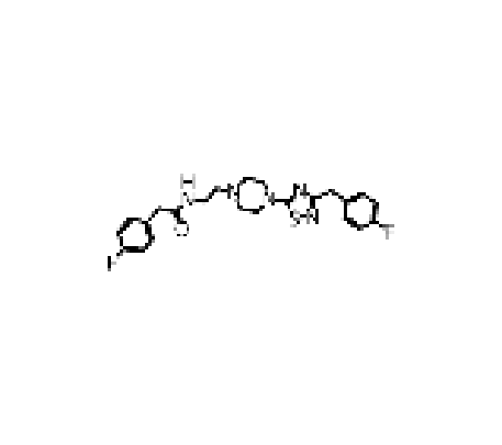 O=C(Cc1ccc(F)cc1)NCCN1CCN(c2nc(Cc3ccc(F)cc3)ns2)CC1